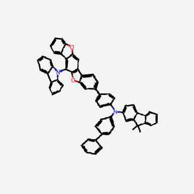 CC1(C)c2ccccc2-c2ccc(N(c3ccc(-c4ccccc4)cc3)c3ccc(-c4ccc5c(c4)oc4c(-n6c7ccccc7c7ccccc76)c6c(cc45)oc4ccccc46)cc3)cc21